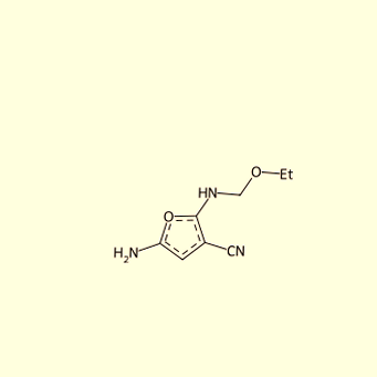 CCOCNc1oc(N)cc1C#N